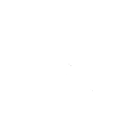 O=C(NC1CCC(O)CC1)[C@H]1CCCNC1